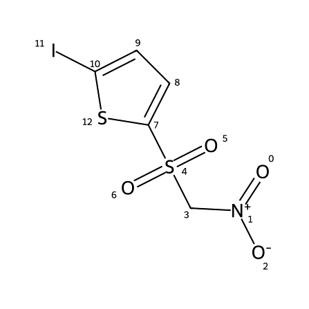 O=[N+]([O-])CS(=O)(=O)c1ccc(I)s1